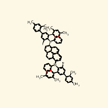 Cc1ccc(-c2cc(F)c(N(c3ccccc3)c3ccc4ccc5c(N(c6ccccc6)c6c(F)cc(-c7ccc(C)cc7C)cc6-c6ccc(C)cc6C)ccc6ccc3c4c65)c(-c3ccc(C)cc3C)c2)c(C)c1